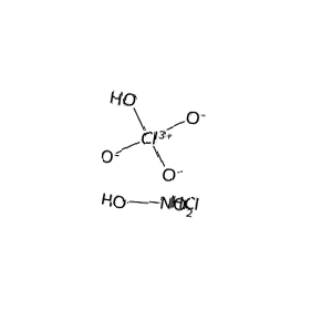 Cl.O=[N+]([O-])O.[O-][Cl+3]([O-])([O-])O